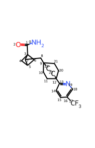 NC(=O)C12CC(C1)C2CC12CCC(c3ccc(C(F)(F)F)cn3)(CC1)CC2